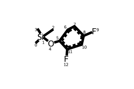 C[Si](C)(C)Oc1ccc(F)cc1F